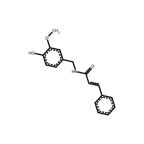 COc1cc(CNC(=O)C=Cc2ccccc2)ccc1O